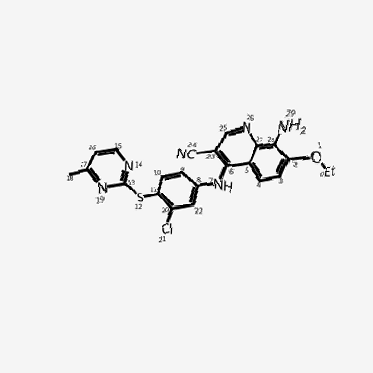 CCOc1ccc2c(Nc3ccc(Sc4nccc(C)n4)c(Cl)c3)c(C#N)cnc2c1N